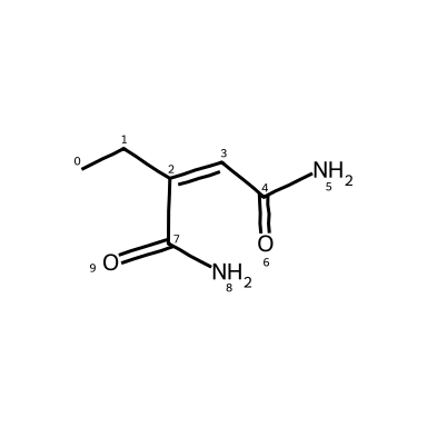 CCC(=CC(N)=O)C(N)=O